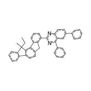 CCC1(C)c2ccccc2-c2ccc3c(c21)-c1cccc(-c2nc(-c4ccccc4)c4cc(-c5ccccc5)ccc4n2)c1C3